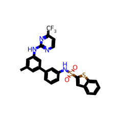 Cc1cc(Nc2nccc(C(F)(F)F)n2)cc(-c2cccc(NS(=O)(=O)c3cc4ccccc4s3)c2)c1